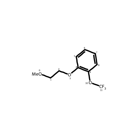 COCCOc1[c]cccc1OC(F)(F)F